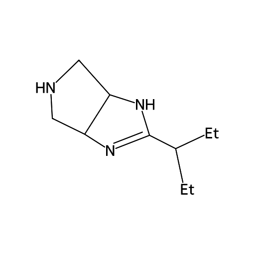 CCC(CC)C1=NC2CNCC2N1